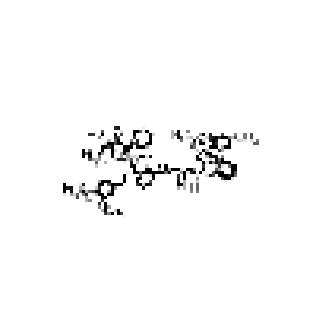 CCC(C)(C)C(=O)C(=O)N1CCCC[C@H]1C(=O)O[C@H](CCc1ccc(OC)c(OC)c1)c1cccc(OCCNCN[C@@H](Cc2ccccc2)[C@H](C)CN(CC(C)C)S(=O)(=O)c2ccc(C)cc2)c1